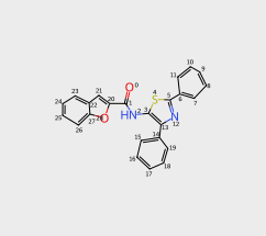 O=C(Nc1sc(-c2ccccc2)nc1-c1ccccc1)c1cc2ccccc2o1